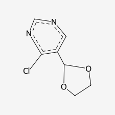 Clc1ncncc1C1OCCO1